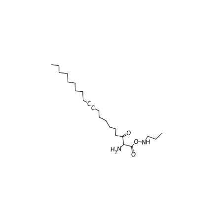 CCCCCCCCCCCCCCCCCC(=O)C(N)C(=O)ONCCC